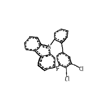 Fc1cc(-c2ccccc2-n2c3ccccc3c3ccccc32)cc(Cl)c1Cl